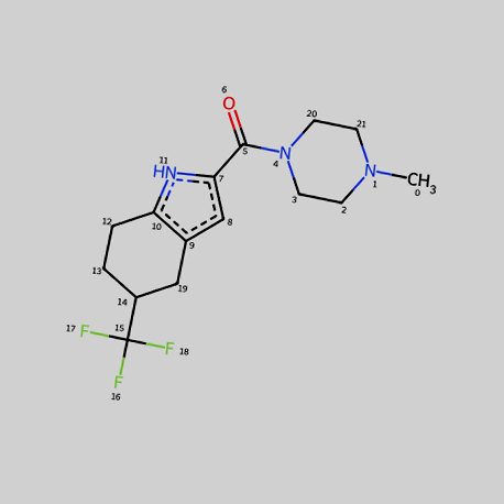 CN1CCN(C(=O)c2cc3c([nH]2)CCC(C(F)(F)F)C3)CC1